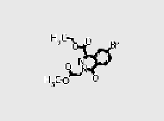 CCOC(=O)c1nn(CC(=O)OC)c(=O)c2ccc(Br)cc12